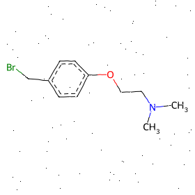 CN(C)CCOc1ccc(CBr)cc1